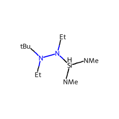 CCN(N(CC)C(C)(C)C)[SiH](NC)NC